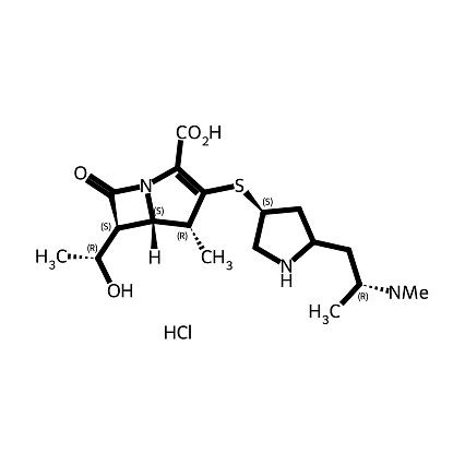 CN[C@H](C)CC1C[C@H](SC2=C(C(=O)O)N3C(=O)[C@H]([C@@H](C)O)[C@H]3[C@H]2C)CN1.Cl